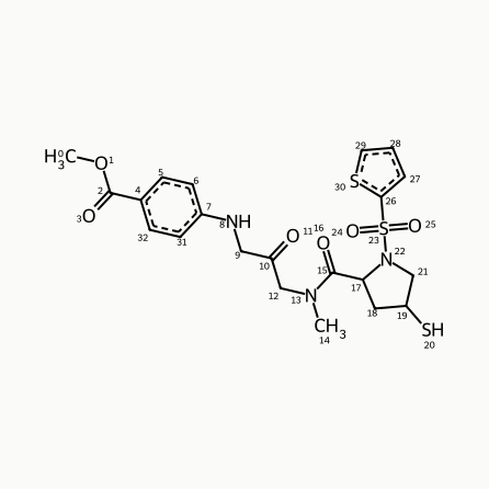 COC(=O)c1ccc(NCC(=O)CN(C)C(=O)C2CC(S)CN2S(=O)(=O)c2cccs2)cc1